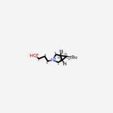 CC(C)(C)[C@H]1[C@@H]2CN(CCCO)C[C@@H]21